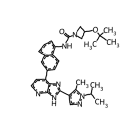 Cc1c(-c2nc3c(-c4ccc5c(NC(=O)N6CC(OC(C)(C)C)C6)cccc5c4)ccnc3[nH]2)cnn1C(C)C